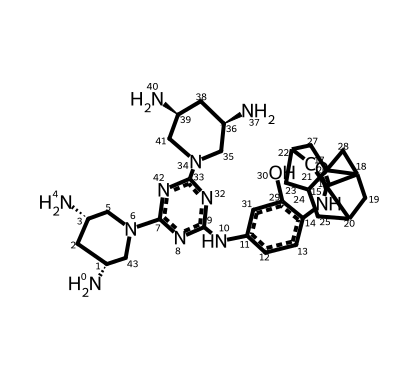 N[C@@H]1C[C@H](N)CN(c2nc(Nc3ccc(NC(=O)C45CC6CC7CC(C6)C4(C7)C5)c(O)c3)nc(N3C[C@H](N)C[C@H](N)C3)n2)C1